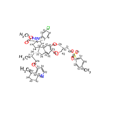 COC(=O)C1(Nc2cccc(Cl)c2)CCC2(CC1)c1cc3c(cc1C[C@@H]2C[C@@H](C)COc1ccnc2c1[C@H](C)CCC2)OCC(CCOS(=O)(=O)c1ccc(C)cc1)CO3